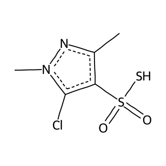 Cc1nn(C)c(Cl)c1S(=O)(=O)S